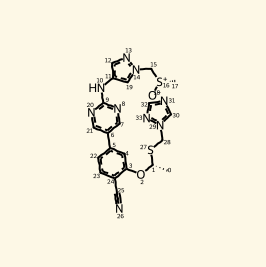 C[C@H](Oc1cc(-c2cnc(Nc3cnn(C[S@+](C)[O-])c3)nc2)ccc1C#N)SCn1cncn1